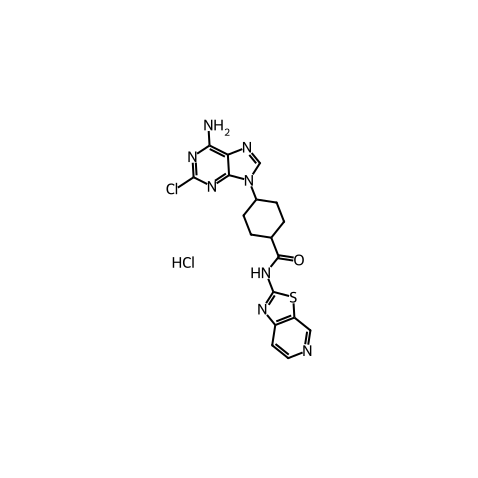 Cl.Nc1nc(Cl)nc2c1ncn2C1CCC(C(=O)Nc2nc3ccncc3s2)CC1